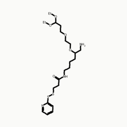 CCOC(CCOCCOC(CN)CCCCNC(=O)CCSSc1ccccn1)OCC